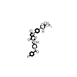 CC1(C)CN[C@@H](c2ccc(-n3c(Cl)cc4c(=O)n(CC5(O)CCN(C(=O)c6ccc(F)cc6)CC5)cnc43)cc2)CO1